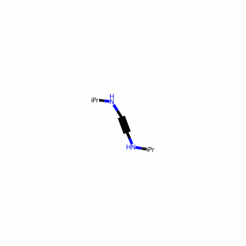 CC(C)NC#CNC(C)C